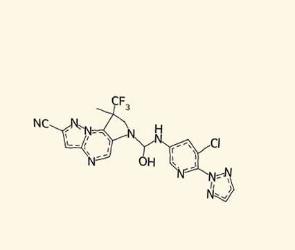 CC1(C(F)(F)F)CN(C(O)Nc2cnc(-n3nccn3)c(Cl)c2)c2cnc3cc(C#N)nn3c21